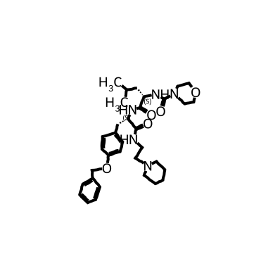 CC(C)C[C@H](NC(=O)N1CCOCC1)C(=O)N[C@@H](Cc1ccc(OCc2ccccc2)cc1)C(=O)NCCN1CCCCC1